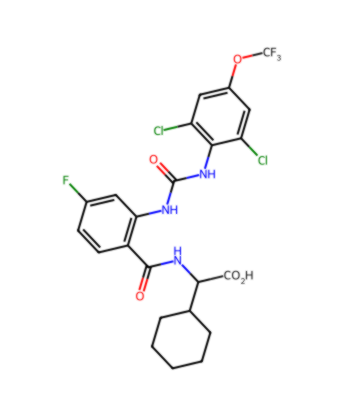 O=C(Nc1cc(F)ccc1C(=O)NC(C(=O)O)C1CCCCC1)Nc1c(Cl)cc(OC(F)(F)F)cc1Cl